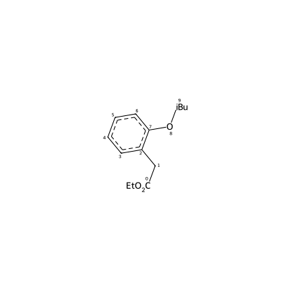 CCOC(=O)Cc1ccccc1OC(C)CC